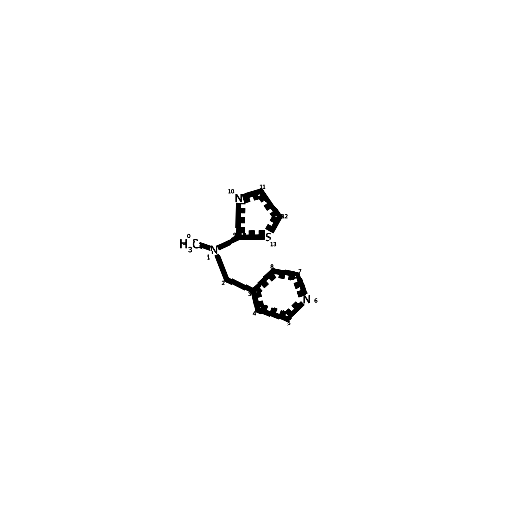 CN(Cc1ccncc1)c1nccs1